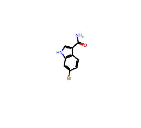 NC(=O)c1c[nH]c2cc(Br)c[c]c12